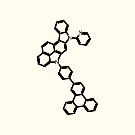 c1ccc(-n2c3ccccc3c3c4ccc5cccc6c5c4c(cc32)n6-c2ccc(-c3ccc4c5ccccc5c5ccccc5c4c3)cc2)nc1